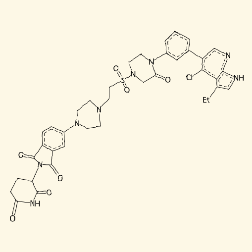 CCc1c[nH]c2ncc(-c3cccc(N4CCN(S(=O)(=O)CCN5CCN(c6ccc7c(c6)C(=O)N(C6CCC(=O)NC6=O)C7=O)CC5)CC4=O)c3)c(Cl)c12